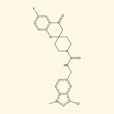 Cn1cc(Cl)c2cc(CNC(=O)N3CCC4(CC3)CC(=O)c3cc(F)ccc3O4)ccc21